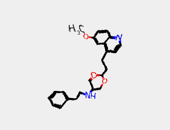 COc1ccc2nccc(CCC3OCC(NCCc4ccccc4)CO3)c2c1